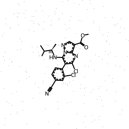 COC(=O)c1cnn2c(N[C@H](C)C(C)C)c(-c3ccc(C#N)cc3Cl)c(Cl)nc12